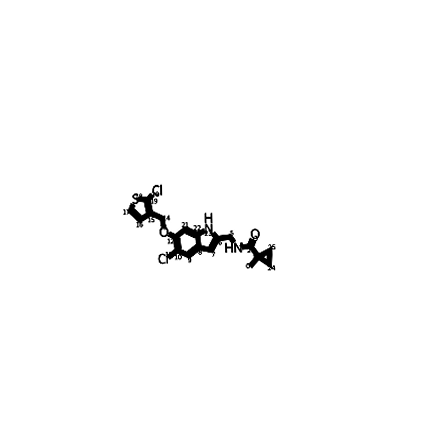 CC1(C(=O)NCc2cc3cc(Cl)c(OCc4ccsc4Cl)cc3[nH]2)CC1